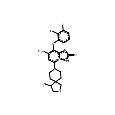 Cc1cc(N2CCC3(CC2)COCC3N)n2[nH]c(=O)nc2c1Sc1cccc(Cl)c1Cl